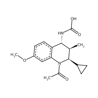 COc1ccc2c(c1)N(C(C)=O)[C@H](C1CC1)[C@H](C)[C@H]2NC(=O)O